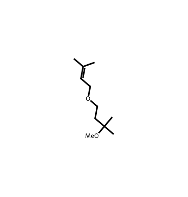 COC(C)(C)CCOCC=C(C)C